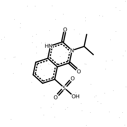 CC(C)n1c(=O)[nH]c2cccc(S(=O)(=O)O)c2c1=O